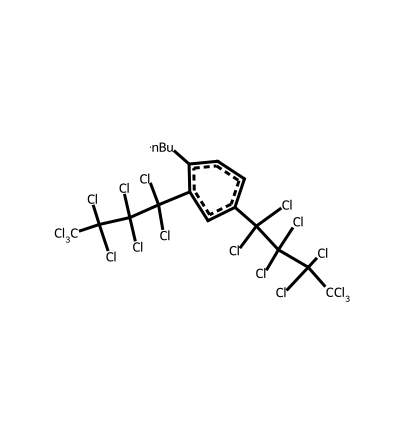 CCC[CH]c1ccc(C(Cl)(Cl)C(Cl)(Cl)C(Cl)(Cl)C(Cl)(Cl)Cl)cc1C(Cl)(Cl)C(Cl)(Cl)C(Cl)(Cl)C(Cl)(Cl)Cl